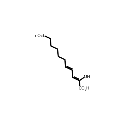 CCCCCCCCCCCCCC=CC=C(O)C(=O)O